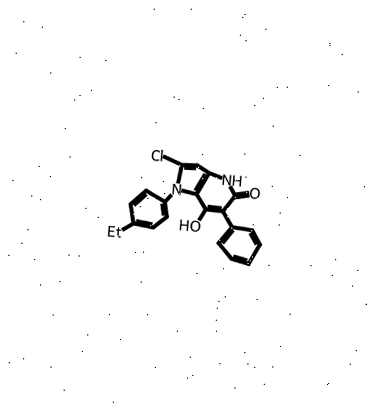 CCc1ccc(-n2c(Cl)cc3[nH]c(=O)c(-c4ccccc4)c(O)c32)cc1